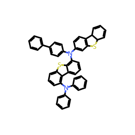 C1=CC2Sc3cc(N(c4ccc(-c5ccccc5)cc4)c4cccc5c4sc4cccc(N(c6ccccc6)c6ccccc6)c45)ccc3C2C=C1